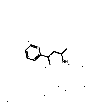 CC(N)CC(C)c1ccccn1